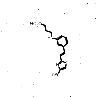 CCCc1csc(/C=C/c2cccc(NCCCC(=O)O)c2)n1